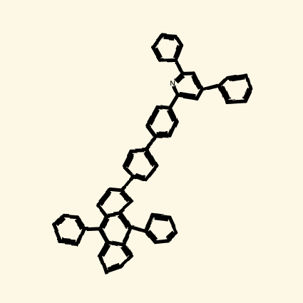 c1ccc(-c2cc(-c3ccccc3)nc(-c3ccc(-c4ccc(-c5ccc6c(-c7ccccc7)c7ccccc7c(-c7ccccc7)c6c5)cc4)cc3)c2)cc1